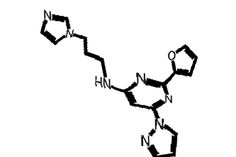 c1coc(-c2nc(NCCCn3ccnc3)cc(-n3cccn3)n2)c1